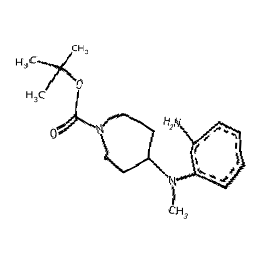 CN(c1ccccc1N)C1CCN(C(=O)OC(C)(C)C)CC1